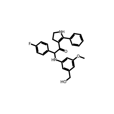 COc1cc(CO)cc(NC(C(=O)C2=C(c3ccccc3)NCC2)c2ccc(F)cc2)c1